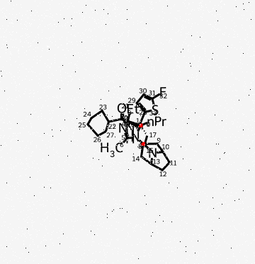 CCCc1c(CC)nc(C)n1C1CC2CCC(C1)N2CC[C@H](NC(=O)C1CCCCC1)c1ccc(F)s1